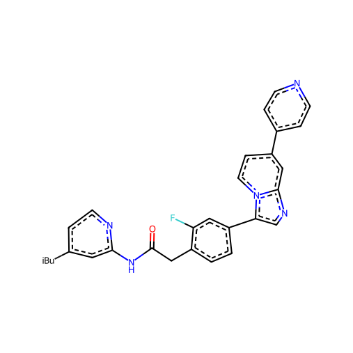 CCC(C)c1ccnc(NC(=O)Cc2ccc(-c3cnc4cc(-c5ccncc5)ccn34)cc2F)c1